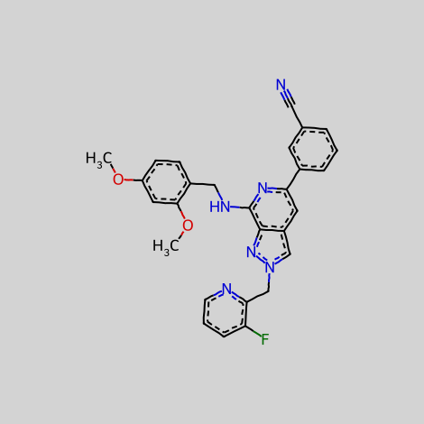 COc1ccc(CNc2nc(-c3cccc(C#N)c3)cc3cn(Cc4ncccc4F)nc23)c(OC)c1